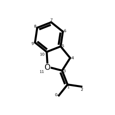 CC(C)=C1Cc2ccccc2O1